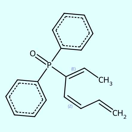 C=C/C=C\C(=C/C)P(=O)(c1ccccc1)c1ccccc1